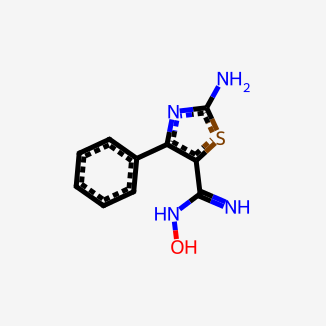 N=C(NO)c1sc(N)nc1-c1ccccc1